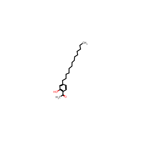 CCCCCCCCCCCCCCc1ccc(C(C)=O)c(O)c1